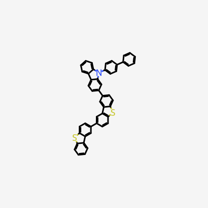 c1ccc(-c2ccc(-n3c4ccccc4c4ccc(-c5ccc6sc7ccc(-c8ccc9sc%10ccccc%10c9c8)cc7c6c5)cc43)cc2)cc1